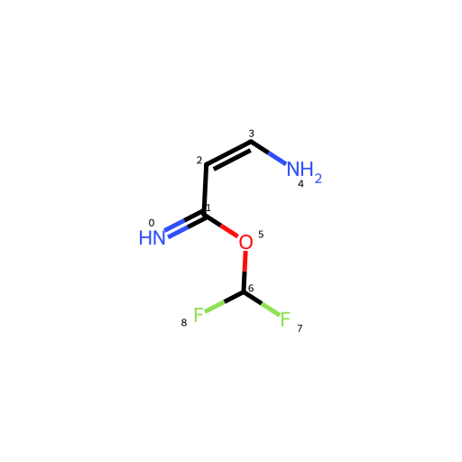 N=C(/C=C\N)OC(F)F